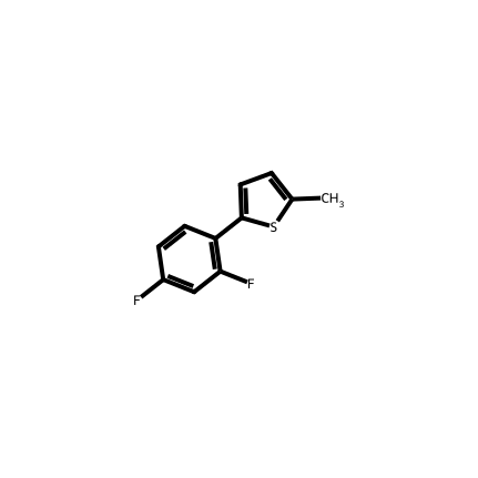 Cc1ccc(-c2ccc(F)cc2F)s1